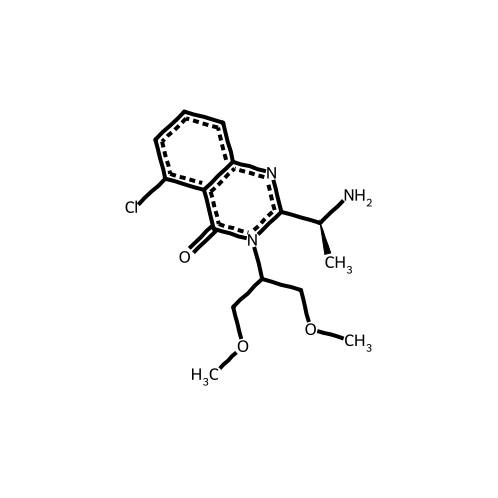 COCC(COC)n1c([C@H](C)N)nc2cccc(Cl)c2c1=O